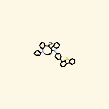 C=C1c2ccccc2N(c2ccccc2)C/C=C\c2c1c1ccccc1n2-c1ccc(-c2cccc3c2sc2ccccc23)cc1